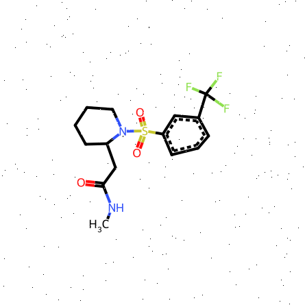 CNC(=O)CC1CCCCN1S(=O)(=O)c1cccc(C(F)(F)F)c1